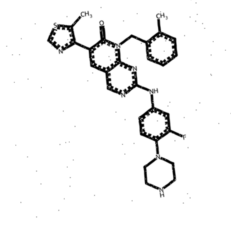 Cc1ccccc1Cn1c(=O)c(-c2ncsc2C)cc2cnc(Nc3ccc(N4CCNCC4)c(F)c3)nc21